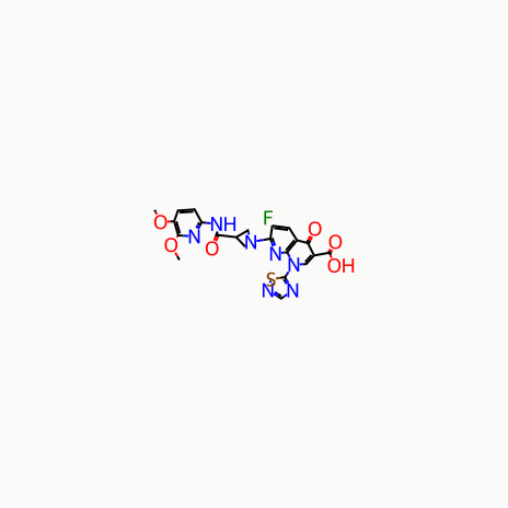 COc1ccc(NC(=O)C2CN(c3nc4c(cc3F)c(=O)c(C(=O)O)cn4-c3ncns3)C2)nc1OC